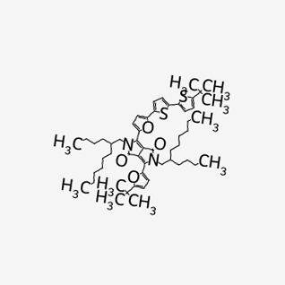 CCCCCCC(CCCC)CN1C(=O)C2=C(c3ccc(C(C)(C)C)o3)N(CC(CCCC)CCCCCC)C(=O)C2=C1c1ccc(-c2ccc(-c3ccc(C(C)(C)C)s3)s2)o1